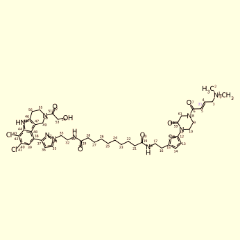 CN(C)C/C=C/C(=O)N1CCN(c2ccc(CCNC(=O)CCCCCCCCC(=O)NCCn3ccc(-c4cc(Cl)c(Cl)c5[nH]c6c(c45)CN(C(=O)CO)CC6)n3)s2)C(=O)C1